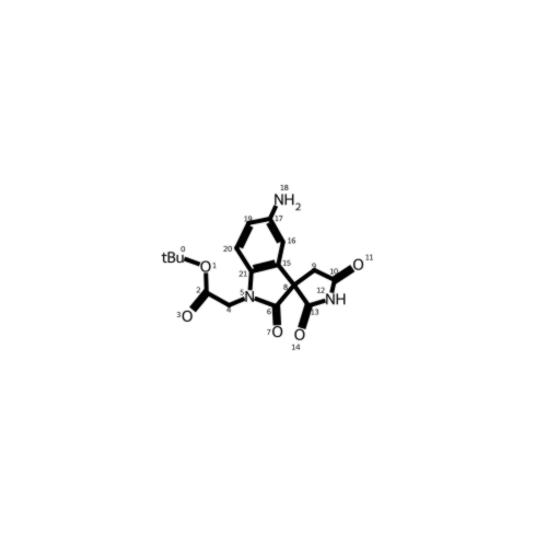 CC(C)(C)OC(=O)CN1C(=O)C2(CC(=O)NC2=O)c2cc(N)ccc21